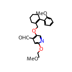 COCCOc1cc(C=O)c(OCC2=C(c3ccccc3OC)CCCC2)cn1